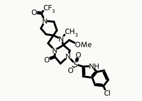 COCC12CN(S(=O)(=O)c3cc4cc(Cl)ccc4[nH]3)CC(=O)N1CC1(CCN(C(=O)C(F)(F)F)CC1)N2C